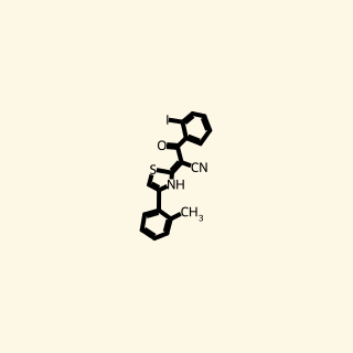 Cc1ccccc1C1=CSC(=C(C#N)C(=O)c2ccccc2I)N1